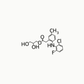 Cc1ccc(Nc2c(F)cccc2Cl)c(CC(=O)OCC(O)CO)c1